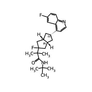 CC(C)(C)NC(=O)C(C)(C)C1(F)C[C@H]2C[C@@H](c3ccnc4ccc(F)cc34)C[C@H]2C1